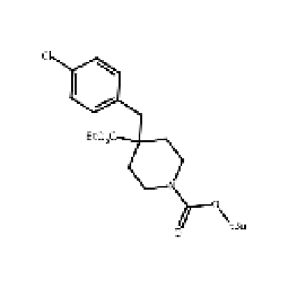 CCOC(=O)C1(Cc2ccc(Cl)cc2)CCN(C(=O)OC(C)(C)C)CC1